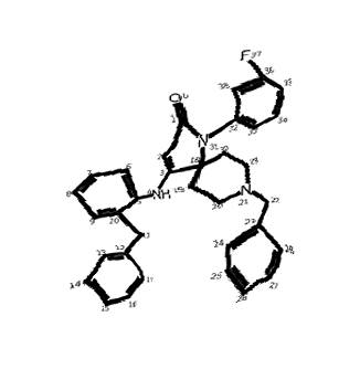 O=C1C=C(Nc2ccccc2Cc2ccccc2)C2(CCN(Cc3ccccc3)CC2)N1c1cccc(F)c1